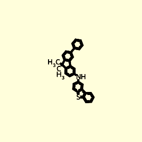 CC1(C)c2ccc(Nc3ccc4sc5ccccc5c4c3)cc2-c2cc(-c3ccccc3)ccc21